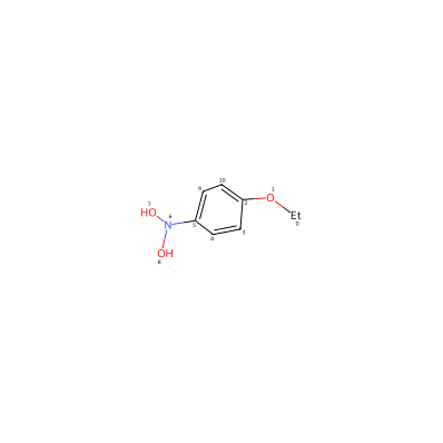 CCOc1ccc(N(O)O)cc1